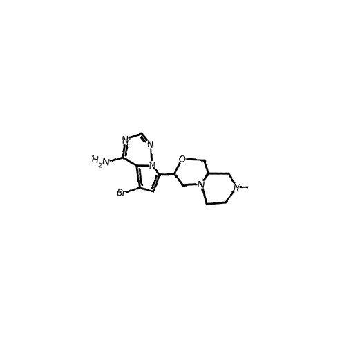 CN1CCN2CC(c3cc(Br)c4c(N)ncnn34)OCC2C1